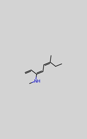 C=C/C(=C\C=C(\C)CC)NC